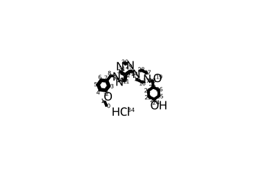 CCOc1cccc(Cn2ncc3c(N4CCN(C(=O)C5CCC(O)CC5)CC4)ncnc32)c1.Cl